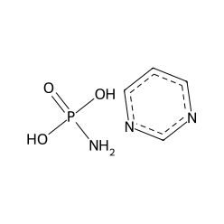 NP(=O)(O)O.c1cncnc1